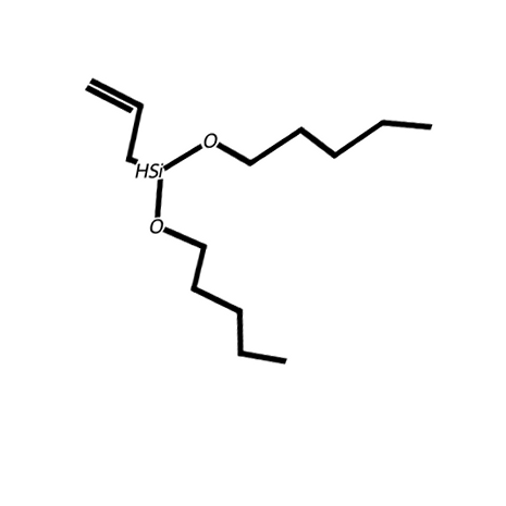 C=CC[SiH](OCCCCC)OCCCCC